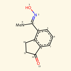 CN/C(=N\O)c1cccc2c1CCC2=O